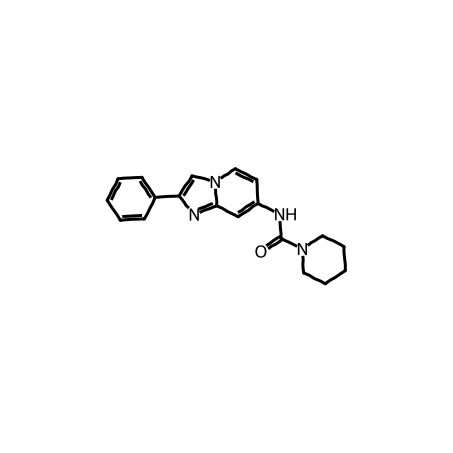 O=C(Nc1ccn2cc(-c3ccccc3)nc2c1)N1CCCCC1